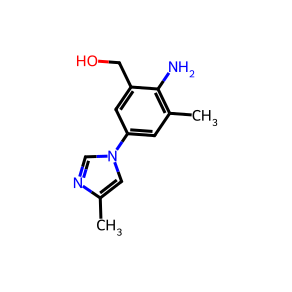 Cc1cn(-c2cc(C)c(N)c(CO)c2)cn1